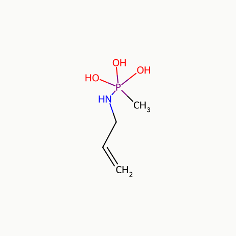 C=CCNP(C)(O)(O)O